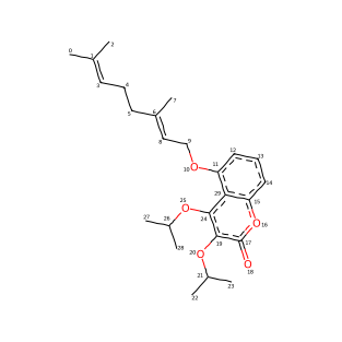 CC(C)=CCC/C(C)=C/COc1cccc2oc(=O)c(OC(C)C)c(OC(C)C)c12